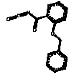 O=C=NC(=O)c1ccccc1OCc1ccccc1